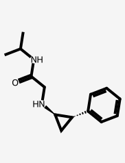 CC(C)NC(=O)CN[C@@H]1C[C@H]1c1ccccc1